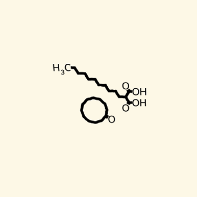 CCCCCCCCCCCC(C(=O)O)C(=O)O.O=C1CCCCCCCCCCC1